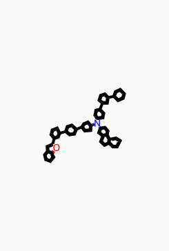 c1ccc(-c2cccc(-c3ccc(N(c4ccc(-c5ccc(-c6cccc(-c7cc8ccccc8o7)c6)cc5)cc4)c4ccc5c(ccc6ccccc65)c4)cc3)c2)cc1